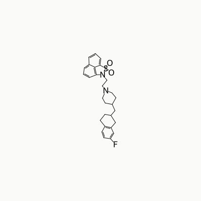 O=S1(=O)c2cccc3cccc(c23)N1CCN1CCC(CC2CCc3ccc(F)cc3C2)CC1